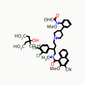 COc1c(C#N)cc2ccccc2c1C(=O)N(C)CC(CCN1CCC(c2ccccc2N(OC)C(=O)C=O)CC1)c1ccc(Cl)c(Cl)c1.O=C(O)CC(O)(CC(=O)O)C(=O)O